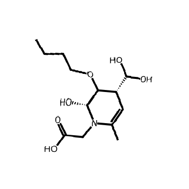 CCCCOC1[C@H](C(O)O)C=C(C)N(CC(=O)O)[C@@H]1O